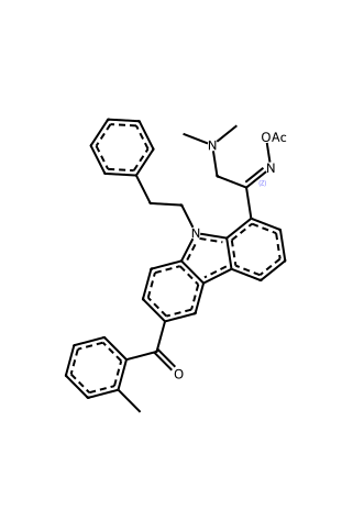 CC(=O)O/N=C(\CN(C)C)c1cccc2c3cc(C(=O)c4ccccc4C)ccc3n(CCc3ccccc3)c12